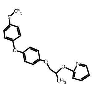 CC(COc1ccc(Oc2ccc(SC(F)(F)F)cc2)cc1)Oc1ccccn1